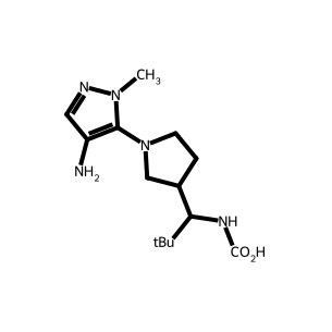 Cn1ncc(N)c1N1CCC(C(NC(=O)O)C(C)(C)C)C1